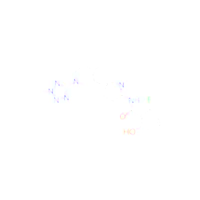 CC1=C(c2ccc(NC(=O)c3c(O)cccc3F)nc2)CN(c2nnn(C)n2)CC1